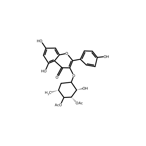 CC(=O)OC1[C@H](C)CC(Oc2c(-c3ccc(O)cc3)oc3cc(O)cc(O)c3c2=O)[C@H](O)[C@@H]1OC(C)=O